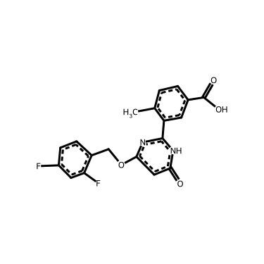 Cc1ccc(C(=O)O)cc1-c1nc(OCc2ccc(F)cc2F)cc(=O)[nH]1